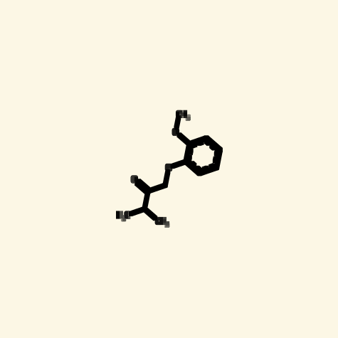 COc1ccccc1OCC(=O)C(C)C